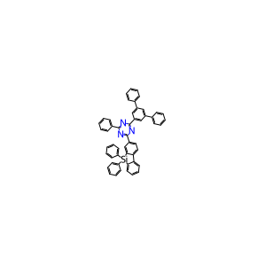 c1ccc(-c2cc(-c3ccccc3)cc(-c3nc(-c4ccccc4)nc(-c4ccc5c(c4)[Si](c4ccccc4)(c4ccccc4)c4ccccc4-5)n3)c2)cc1